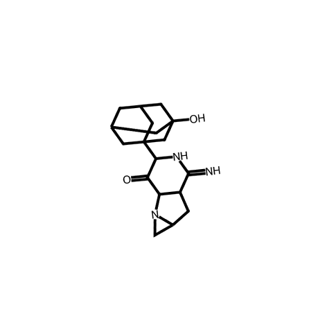 N=C1NC(C23CC4CC(CC(O)(C4)C2)C3)C(=O)C2C1CC1CN12